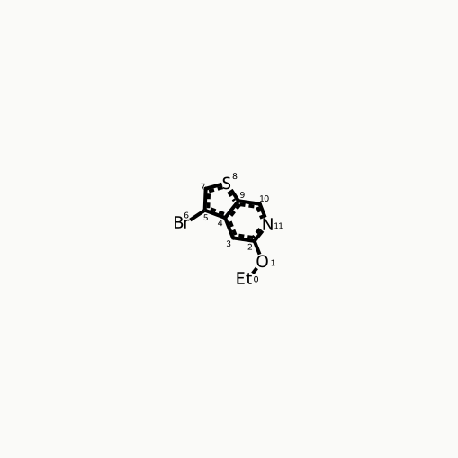 CCOc1cc2c(Br)csc2cn1